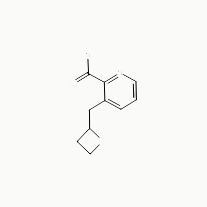 NC(=O)c1ncccc1CC1CCO1